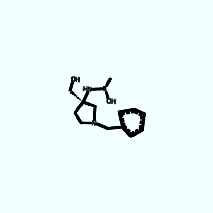 CB(O)N[C@]1(CO)CCN(Cc2ccccc2)C1